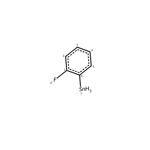 Fc1cccc[c]1[SnH3]